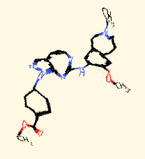 COC(=O)C1CCC(n2ncc3cnc(Nc4cc5c(cc4OC)CCN(C)C5)nc32)CC1